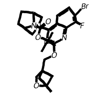 CC(C)(C)OC(=O)N1C2CCC1CN(c1nc(OCC34COC(C)(C3)C4)nc3c(F)c(Br)ccc13)C2